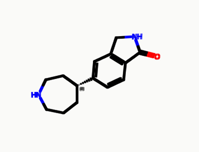 O=C1NCc2cc([C@@H]3CCCNCC3)ccc21